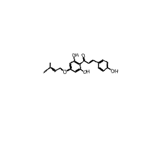 CC(C)=CCOc1cc(O)c(C(=O)C=Cc2ccc(O)cc2)c(O)c1